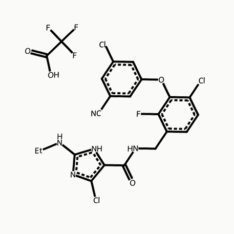 CCNc1nc(Cl)c(C(=O)NCc2ccc(Cl)c(Oc3cc(Cl)cc(C#N)c3)c2F)[nH]1.O=C(O)C(F)(F)F